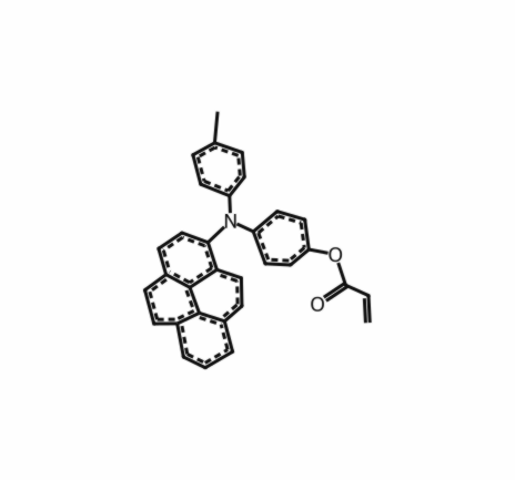 C=CC(=O)Oc1ccc(N(c2ccc(C)cc2)c2ccc3ccc4cccc5ccc2c3c45)cc1